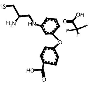 N[C@@H](CS)CNc1cccc(Oc2ccc(C(=O)O)cc2)c1.O=C(O)C(F)(F)F